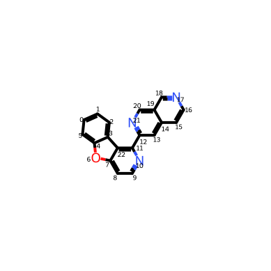 c1ccc2c(c1)oc1ccnc(-c3cc4ccncc4cn3)c12